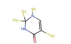 O=C1NC(S)(S)N(S)C=C1S